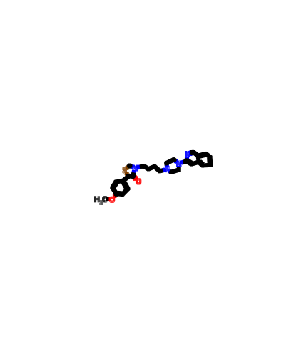 COc1ccc(C2SCN(CCCCN3CCN(c4cc5ccccc5cn4)CC3)C2=O)cc1